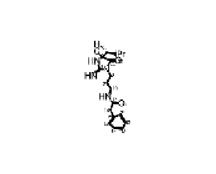 CC(C)CC1(C)NC(=N)N(CCCNC(=O)Cc2ccccc2)C1=O